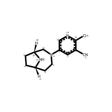 N#Cc1cc(N2CC[C@@H]3CC[C@H](C2)N3)cnc1Cl